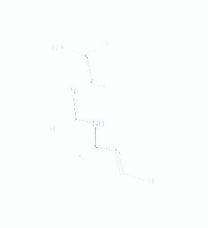 C=C(C)C(=O)NC(C)NC(=O)N=CC